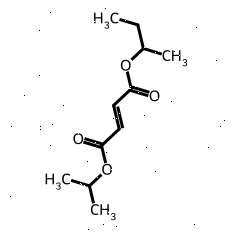 CCC(C)OC(=O)C=CC(=O)OC(C)C